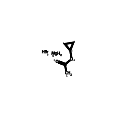 Br.CC(=O)OC1CC1.[MgH2]